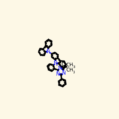 CC(C)(C)c1nc(-c2ccccc2)nc(-c2ccccc2-n2c3ccccc3c3ccc(-n4c5ccccc5c5ccccc54)cc32)n1